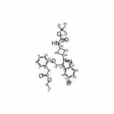 CCOC(=O)Cc1ccccc1OCc1c2cc(Br)ccc2nn1C1CC(NC(=O)OC(C)(C)C)C1